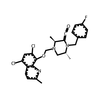 Cc1ccc2c(Cl)cc(Cl)c(OCN3C[C@@H](C)N(Cc4ccc(F)cc4)C(=C=O)[C@@H]3C)c2n1